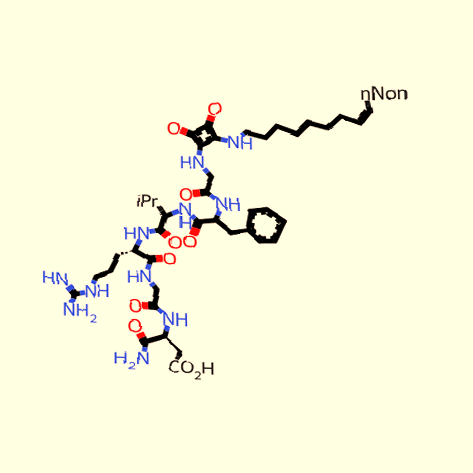 CCCCCCCCC/C=C\CCCCCCCNc1c(NCC(=O)NC(Cc2ccccc2)C(=O)NC(C(=O)N[C@@H](CCCNC(=N)N)C(=O)NCC(=O)N[C@@H](CC(=O)O)C(N)=O)C(C)C)c(=O)c1=O